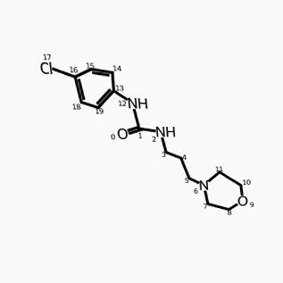 O=C(NCCCN1CCOCC1)Nc1ccc(Cl)cc1